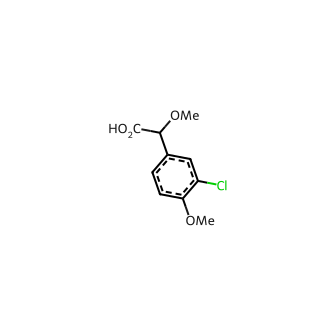 COc1ccc(C(OC)C(=O)O)cc1Cl